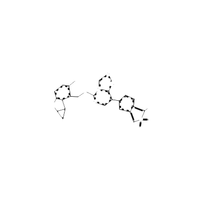 O=S1(=O)C=c2cc(-c3cnc(NCc4c(F)ccc5c4C4CC4O5)n4cnnc34)ccc2=C1F